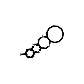 Ic1ccc2nc3c(nc2c1)CSC1CCCCCCCCCC1SC3